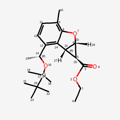 CCOC(=O)[C@@H]1[C@H]2Oc3c(C)ccc([C@@H](C)O[Si](C)(C)C(C)(C)C)c3[C@H]21